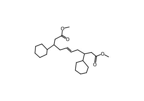 COC(=O)CC(CC=CCC(CC(=O)OC)C1CCCCC1)C1CCCCC1